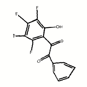 O=C(C(=O)c1c(O)c(F)c(F)c(F)c1F)c1ccccc1